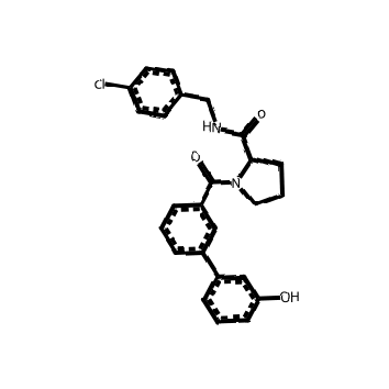 O=C(NCc1ccc(Cl)cc1)C1CCCN1C(=O)c1cccc(-c2cccc(O)c2)c1